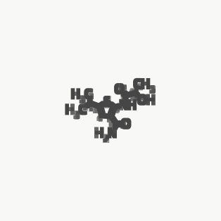 CC(C)c1cc(C(N)=O)c(NC(=O)[C@H](C)O)s1